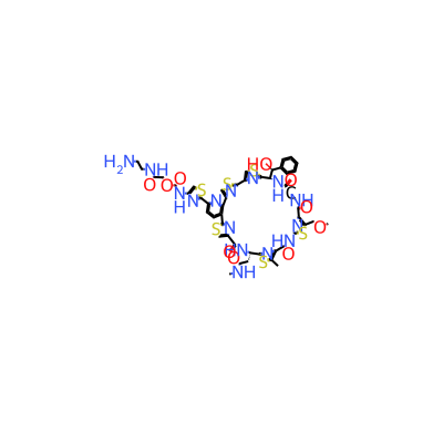 CNC(=O)C[C@@H]1NC(=O)c2csc(n2)-c2ccc(-c3nc(NC(=O)OCC(=O)NCCN)cs3)nc2-c2csc(n2)-c2csc(n2)[C@H]([C@@H](O)c2ccccc2)NC(=O)CNC(=O)c2nc(sc2COC)NC(=O)c2nc1sc2C